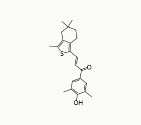 Cc1cc(C(=O)C=Cc2sc(C)c3c2CCC(C)(C)C3)cc(C)c1O